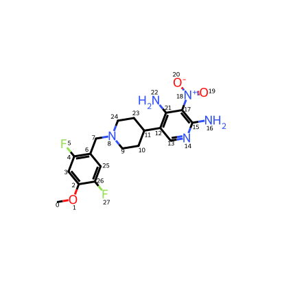 COc1cc(F)c(CN2CCC(c3cnc(N)c([N+](=O)[O-])c3N)CC2)cc1F